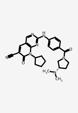 CN(C)[C@H]1CCN(C(=O)c2ccc(Nc3ncc4cc(C#N)c(=O)n(C5CCCC5)c4n3)cc2)C1